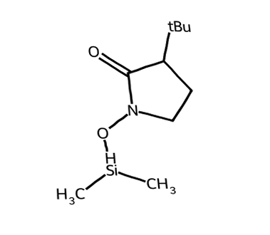 C[SiH](C)ON1CCC(C(C)(C)C)C1=O